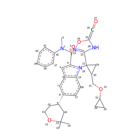 CN(C(=O)c1cc2cc([C@H]3CCOC(C)(C)C3)ccc2n1C1(C2=NOC(=C=O)N2)CC1COC1CC1)c1ccccc1